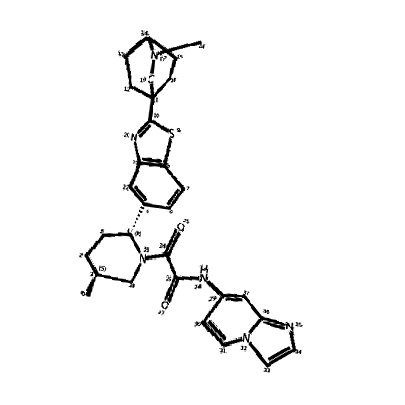 C[C@H]1CC[C@H](c2ccc3sc(C45CCC(CC4)N(C)C5)nc3c2)N(C(=O)C(=O)Nc2ccn3ccnc3c2)C1